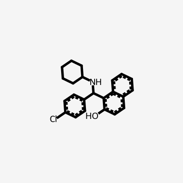 Oc1ccc2ccccc2c1C(NC1CCCCC1)c1ccc(Cl)cc1